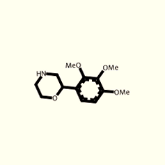 COc1ccc(C2CNCCO2)c(OC)c1OC